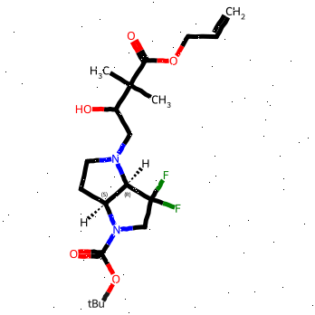 C=CCOC(=O)C(C)(C)C(O)CN1CC[C@H]2[C@@H]1C(F)(F)CN2C(=O)OC(C)(C)C